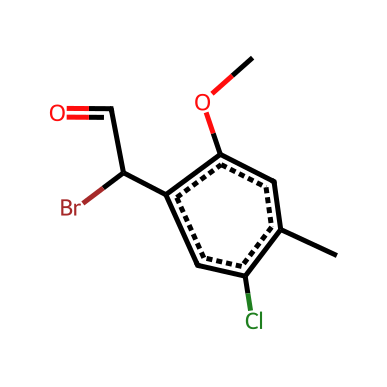 COc1cc(C)c(Cl)cc1C(Br)C=O